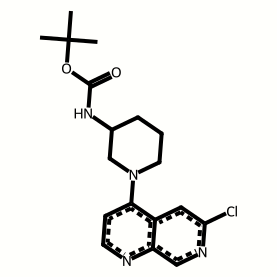 CC(C)(C)OC(=O)NC1CCCN(c2ccnc3cnc(Cl)cc23)C1